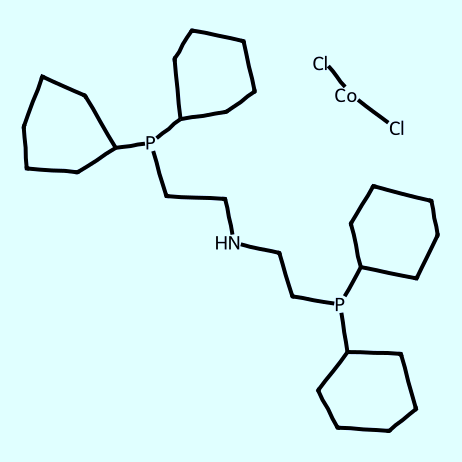 C1CCC(P(CCNCCP(C2CCCCC2)C2CCCCC2)C2CCCCC2)CC1.[Cl][Co][Cl]